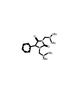 CCCCN(CCCC)CN1C(=O)C(c2ccccc2)N(CN(CCCC)CCCC)C1=O